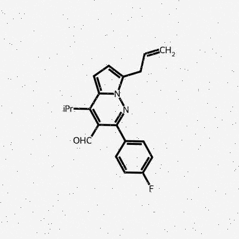 C=CCc1ccc2c(C(C)C)c(C=O)c(-c3ccc(F)cc3)nn12